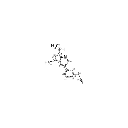 CPn1nc(C)c2cc(-c3cccc(CC#N)c3)cnc21